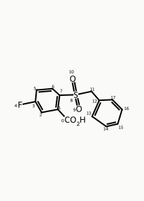 O=C(O)c1cc(F)ccc1S(=O)(=O)Cc1ccccc1